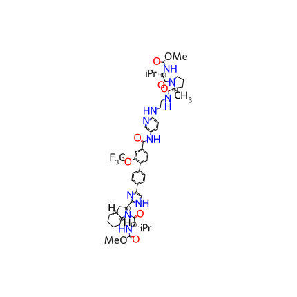 COC(=O)N[C@H](C(=O)N1[C@H](c2nc(-c3ccc(-c4ccc(C(=O)Nc5ccc(NCCNC(=O)[C@]6(C)CCCN6C(=O)[C@@H](NC(=O)OC)C(C)C)nc5)cc4OC(F)(F)F)cc3)c[nH]2)C[C@@H]2CCCC[C@@H]21)C(C)C